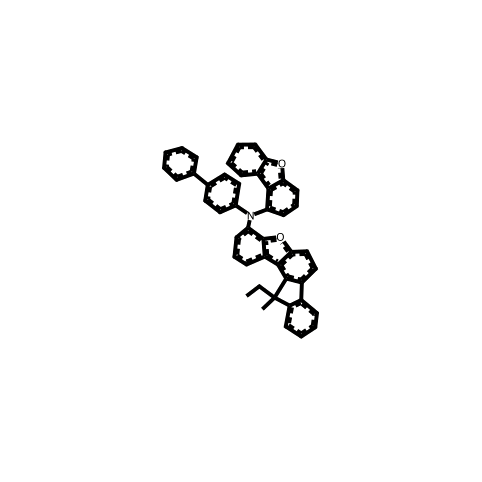 CCC1(C)c2ccccc2-c2ccc3oc4c(N(c5ccc(-c6ccccc6)cc5)c5cccc6oc7ccccc7c56)cccc4c3c21